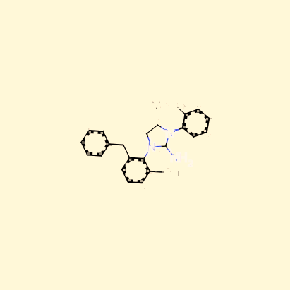 CCC(C)c1cccc(Cc2ccccc2)c1N1CCN(c2ccccc2OC)C1N